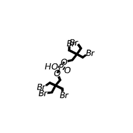 O=P(O)(OCC(CBr)(CBr)CBr)OCC(CBr)(CBr)CBr